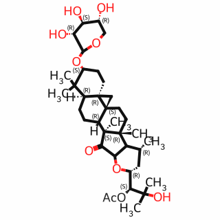 CC(=O)O[C@@H]([C@H]1C[C@@H](C)C2C(O1)C(=O)[C@@]1(C)[C@@H]3CC[C@H]4C(C)(C)[C@@H](OC5OC[C@@H](O)[C@H](O)[C@H]5O)CC[C@@]45C[C@@]35CC[C@]21C)C(C)(C)O